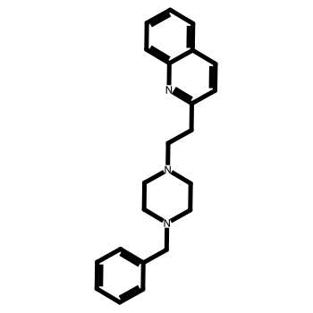 c1ccc(CN2CCN(CCc3ccc4ccccc4n3)CC2)cc1